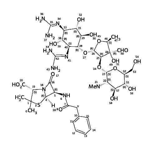 CC1(C)S[C@@H]2[C@H](NC(=O)Cc3ccccc3)C(=O)N2[C@H]1C(=O)O.CN[C@@H]1[C@H](O[C@H]2[C@H](O[C@H]3[C@H](O)[C@@H](O)[C@H](N=C(N)N)[C@@H](O)[C@@H]3N=C(N)N)O[C@@H](C)[C@]2(O)C=O)O[C@@H](CO)[C@H](O)[C@H]1O